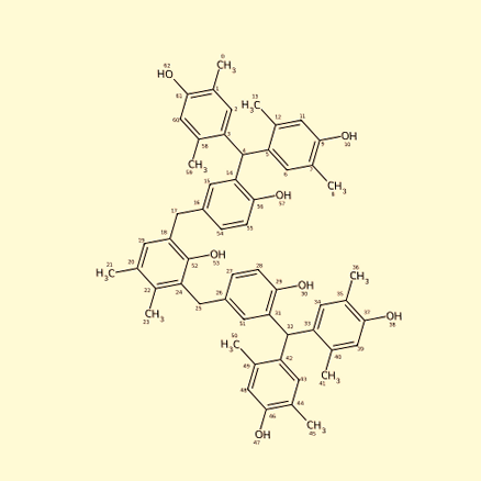 Cc1cc(C(c2cc(C)c(O)cc2C)c2cc(Cc3cc(C)c(C)c(Cc4ccc(O)c(C(c5cc(C)c(O)cc5C)c5cc(C)c(O)cc5C)c4)c3O)ccc2O)c(C)cc1O